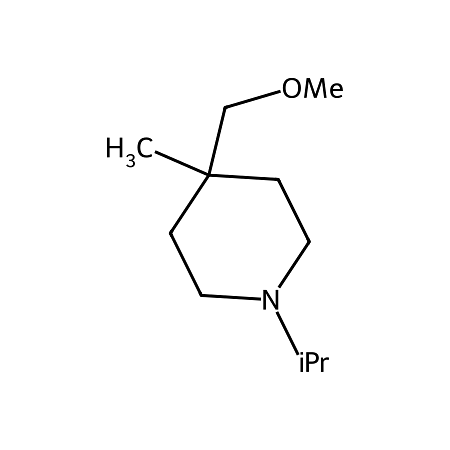 COCC1(C)CCN(C(C)C)CC1